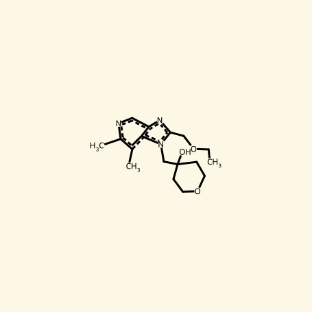 CCOCc1nc2cnc(C)c(C)c2n1CC1(O)CCOCC1